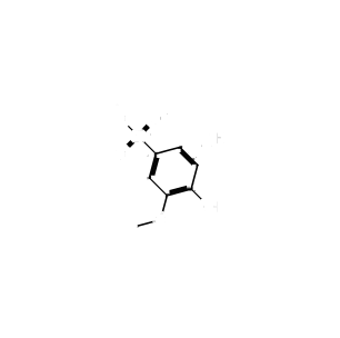 COc1cc(S(=O)(=O)[O-])ccc1O.O.[K+]